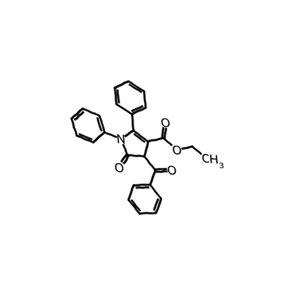 CCOC(=O)C1=C(c2ccccc2)N(c2ccccc2)C(=O)C1C(=O)c1ccccc1